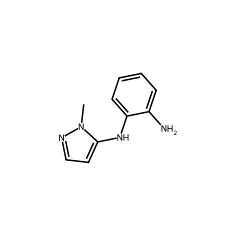 Cn1nccc1Nc1ccccc1N